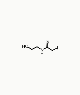 OCCNC(=S)CI